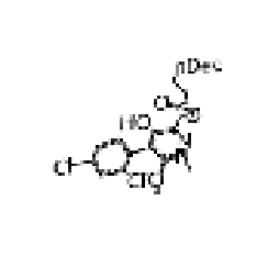 CCCCCCCCCCCCS(=O)(=O)c1nn(C)c(=O)c(-c2ccc(Cl)cc2C(F)(F)F)c1O